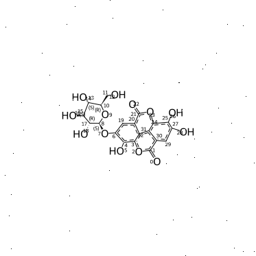 O=c1oc2c(O)c(O[C@@H]3O[C@H](CO)[C@@H](O)[C@H](O)[C@H]3O)cc3c(=O)oc4c(O)c(O)cc1c4c23